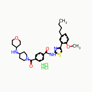 CCCCc1ccc(OC)c(-c2csc(NC(=O)c3ccc(C(=O)N4CCC(NC5CCOCC5)CC4)cc3)n2)c1.Cl.Cl